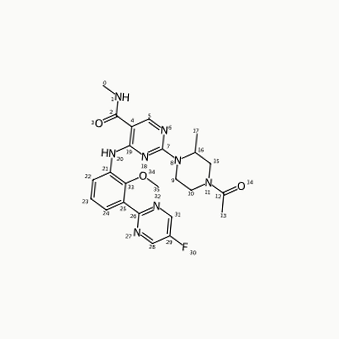 CNC(=O)c1cnc(N2CCN(C(C)=O)CC2C)nc1Nc1cccc(-c2ncc(F)cn2)c1OC